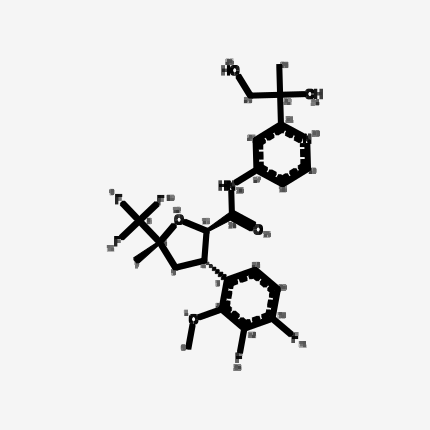 COc1c([C@@H]2C[C@](C)(C(F)(F)F)O[C@H]2C(=O)Nc2ccnc(C(C)(O)CO)c2)ccc(F)c1F